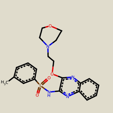 Cc1cccc(S(=O)(=O)Nc2nc3ccccc3nc2OCCN2CCOCC2)c1